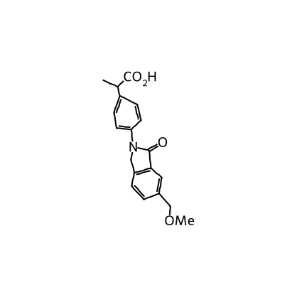 COCc1ccc2c(c1)C(=O)N(c1ccc(C(C)C(=O)O)cc1)C2